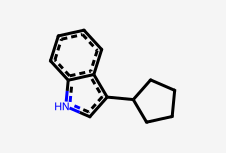 c1ccc2c(C3CCCC3)c[nH]c2c1